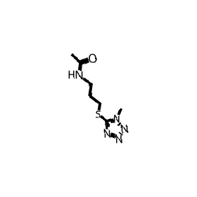 CC(=O)NCCCSc1nnnn1C